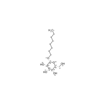 CCCCCCCCO[C@@H]1O[C@H](CO)[C@H](O)[C@H](O)[C@@H]1O